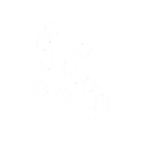 c1ccc(-c2cccc(N(c3cc(-c4ccccc4)cc(-c4cccc5c4oc4c6ccccc6ccc54)c3)c3ccc4sc5ccc6ccccc6c5c4c3)c2)cc1